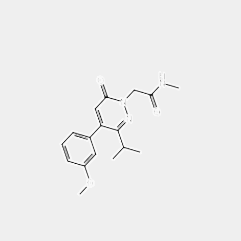 CNC(=O)Cn1nc(C(C)C)c(-c2cccc(OC)c2)cc1=O